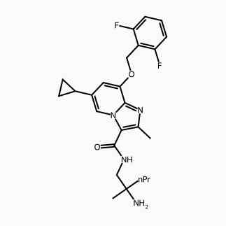 CCCC(C)(N)CNC(=O)c1c(C)nc2c(OCc3c(F)cccc3F)cc(C3CC3)cn12